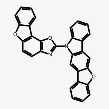 c1ccc2c(c1)oc1cc3c4ccccc4n(-c4nc5ccc6oc7ccccc7c6c5o4)c3cc12